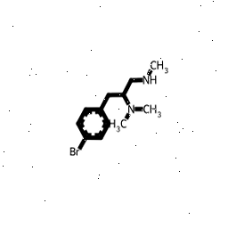 CNCC(Cc1ccc(Br)cc1)N(C)C